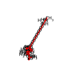 CCCNC(=O)[C@@H](N)CCCCNC(=O)CCOCCOCCOCCOCCOCCOCCOCCOCCOCCOCCOCCOC(=O)Nc1cc(C[N+]2(C)CCCC[C@@H]2C(=O)N[C@H](C(=O)N(C)[C@H](C[C@@H](OCC)c2nc(C(=O)N[C@@H](Cc3ccccc3)C[C@H](C)C(=O)O)cs2)C(C)C)[C@@H](C)CC)ccc1O[C@@H]1O[C@H](C(=O)O)[C@@H](O)[C@H](O)[C@H]1O